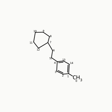 Cc1ccc([CH]CC2CCCCC2)cc1